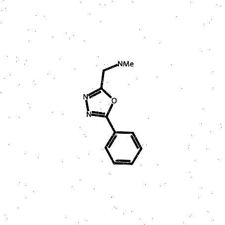 CNCc1nnc(-c2ccccc2)o1